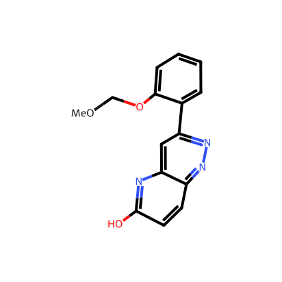 COCOc1ccccc1-c1cc2nc(O)ccc2nn1